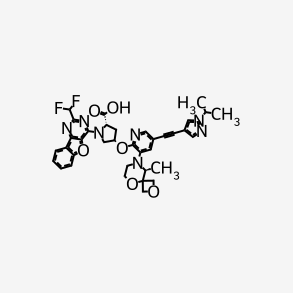 CC(C)n1cc(C#Cc2cnc(O[C@H]3C[C@@H](C(=O)O)N(c4nc(C(F)F)nc5c4oc4ccccc45)C3)c(N3CCOC4(COC4)[C@@H]3C)c2)cn1